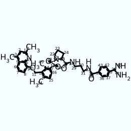 Cc1cc(C)c2cccc(OCc3c(C)ccc(S(=O)(=O)N4CCC[C@H]4C(=O)NCCCNC(=O)c4ccc(C(=N)N)cc4)c3C)c2n1